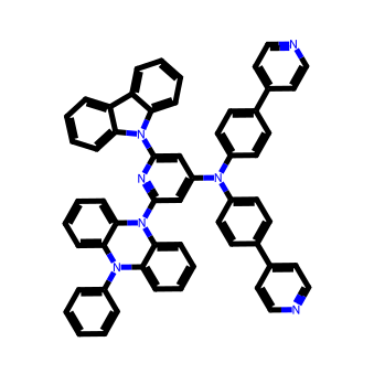 c1ccc(N2c3ccccc3N(c3cc(N(c4ccc(-c5ccncc5)cc4)c4ccc(-c5ccncc5)cc4)cc(-n4c5ccccc5c5ccccc54)n3)c3ccccc32)cc1